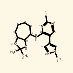 Cn1cc(-c2cnc(Cl)nc2NC2CCCCC3OC(C)(C)OC23)cn1